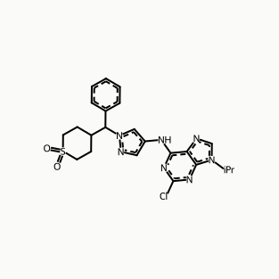 CC(C)n1cnc2c(Nc3cnn(C(c4ccccc4)C4CCS(=O)(=O)CC4)c3)nc(Cl)nc21